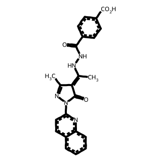 CC1=NN(c2ccc3ccccc3n2)C(=O)C1=C(C)NNC(=O)c1ccc(C(=O)O)cc1